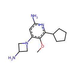 COc1c(N2CC(N)C2)cc(N)nc1C1CCCC1